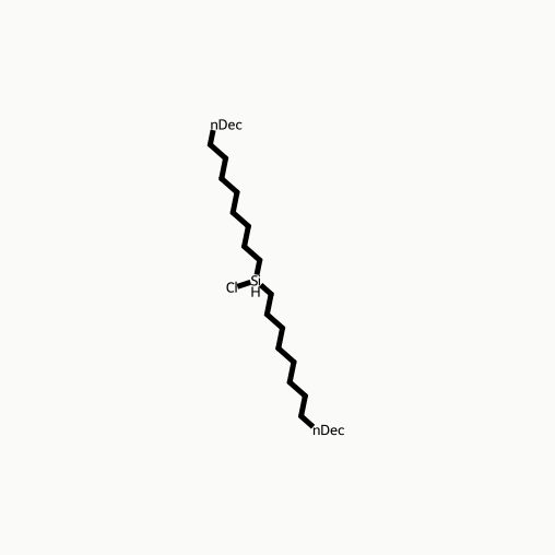 CCCCCCCCCCCCCCCCCC[SiH](Cl)CCCCCCCCCCCCCCCCCC